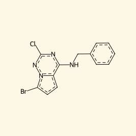 Clc1nc(NCc2ccccc2)c2ccc(Br)n2n1